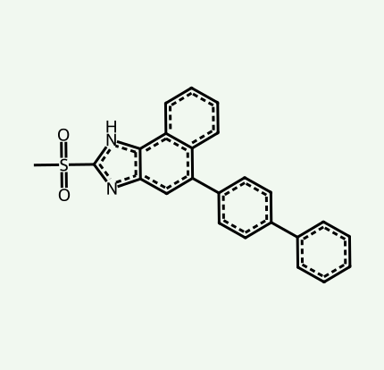 CS(=O)(=O)c1nc2cc(-c3ccc(-c4ccccc4)cc3)c3ccccc3c2[nH]1